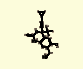 CC(F)(F)C1(C#CC2CC2)OC(=O)Nc2cc(CO)c(Cl)cc21